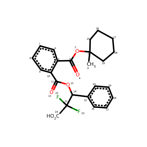 CC1(OC(=O)c2ccccc2C(=O)OC(c2ccccc2)C(F)(F)C(=O)O)CCCCC1